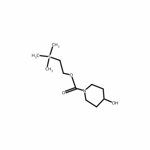 CS(C)(C)CCOC(=O)N1CCC(O)CC1